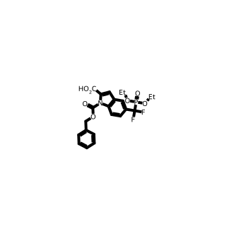 CCOP(=O)(OCC)C(F)(F)c1ccc2c(c1)cc(C(=O)O)n2C(=O)OCc1ccccc1